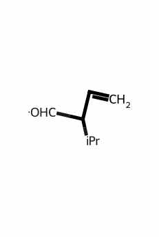 C=CC([C]=O)C(C)C